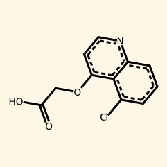 O=C(O)COc1ccnc2cccc(Cl)c12